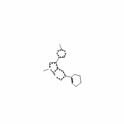 Cc1nc(-c2cn(S)c3ncc(C4=CCCCC4)cc23)cs1